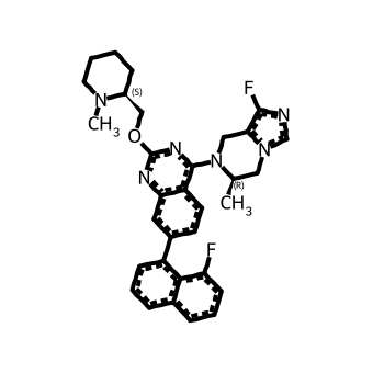 C[C@@H]1Cn2cnc(F)c2CN1c1nc(OC[C@@H]2CCCCN2C)nc2cc(-c3cccc4cccc(F)c34)ccc12